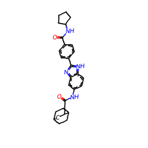 O=C(NC1CCCC1)c1ccc(-c2nc3cc(NC(=O)C4CC5CCC4CC5)ccc3[nH]2)cc1